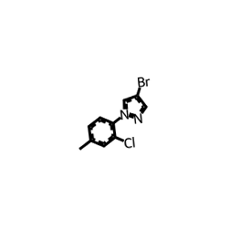 Cc1ccc(-n2cc(Br)cn2)c(Cl)c1